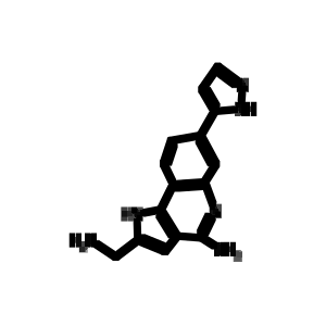 NCc1cc2c(N)nc3cc(-c4ccn[nH]4)ccc3c2[nH]1